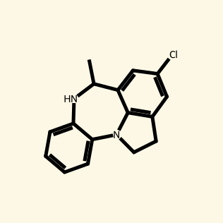 CC1Nc2ccccc2N2CCc3cc(Cl)cc1c32